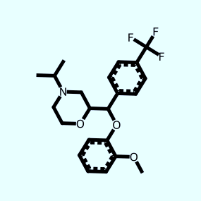 COc1ccccc1OC(c1ccc(C(F)(F)F)cc1)C1CN(C(C)C)CCO1